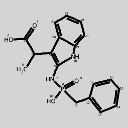 CC(C(=O)O)c1c(NP(=O)(O)Cc2ccccc2)[nH]c2ccccc12